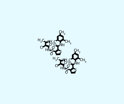 Cc1cc(C)c(NC(=O)c2sccc2S(=O)(=O)Nc2onc(C)c2Cl)c(C)c1.Cc1cc(C)c(NC(=O)c2sccc2S(=O)(=O)Nc2onc(C)c2Cl)c(C)c1